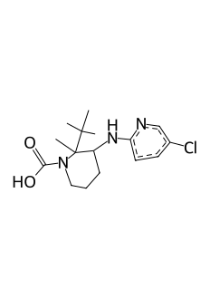 CC(C)(C)C1(C)C(Nc2ccc(Cl)cn2)CCCN1C(=O)O